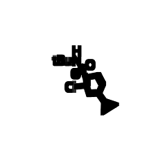 CC(C)(C)NS(=O)(=O)c1ccc(C2CC2)cc1Cl